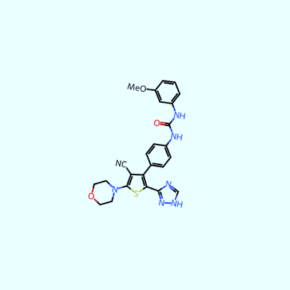 COc1cccc(NC(=O)Nc2ccc(-c3c(-c4nc[nH]n4)sc(N4CCOCC4)c3C#N)cc2)c1